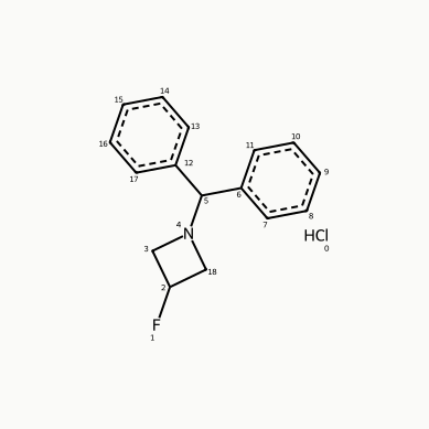 Cl.FC1CN(C(c2ccccc2)c2ccccc2)C1